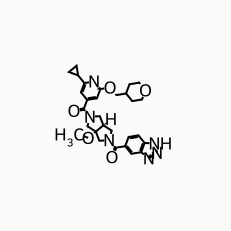 CO[C@@]12CN(C(=O)c3cc(OCC4CCOCC4)nc(C4CC4)c3)C[C@H]1CN(C(=O)c1ccc3[nH]nnc3c1)C2